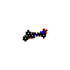 CS(=O)(=O)Nc1ccccc1OCC=CCN1CCC(OC(c2ccccc2)c2ccccc2)CC1